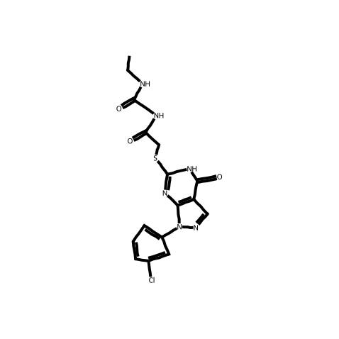 CCNC(=O)NC(=O)CSc1nc2c(cnn2-c2cccc(Cl)c2)c(=O)[nH]1